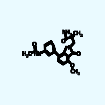 C=C(CN1Cc2c(-c3cccc(NC(C)=O)c3)ccc(OC)c2C1=O)C(N)=O